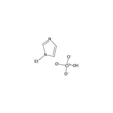 CCn1ccnc1.[O-][Cl+3]([O-])([O-])O